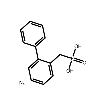 O=P(O)(O)Cc1ccccc1-c1ccccc1.[Na]